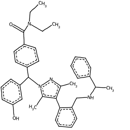 CCN(CC)C(=O)c1ccc(C(c2cccc(O)c2)n2nc(C)c(-c3ccccc3CNC(C)c3ccccc3)c2C)cc1